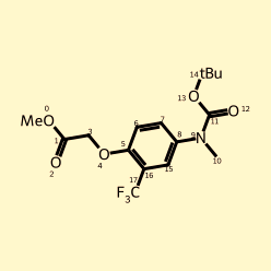 COC(=O)COc1ccc(N(C)C(=O)OC(C)(C)C)cc1C(F)(F)F